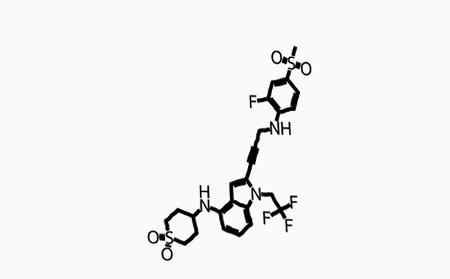 CS(=O)(=O)c1ccc(NCC#Cc2cc3c(NC4CCS(=O)(=O)CC4)cccc3n2CC(F)(F)F)c(F)c1